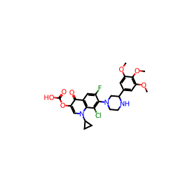 COc1cc(C2CN(c3c(F)cc4c(=O)c(OC(=O)O)cn(C5CC5)c4c3Cl)CCN2)cc(OC)c1OC